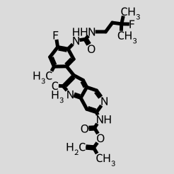 C=C(C)OC(=O)Nc1cc2nc(C)c(-c3cc(NC(=O)NCCC(C)(C)F)c(F)cc3C)cc2cn1